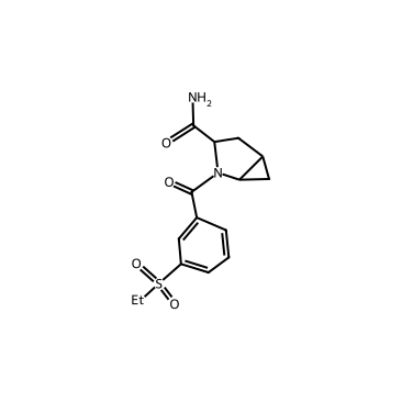 CCS(=O)(=O)c1cccc(C(=O)N2C(C(N)=O)CC3CC32)c1